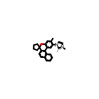 Cc1cc2c(cc1N1C=CN(C)[C@@H]1C)-c1c(ccc3ccccc13)C1(CCCC1)C21CCCC1